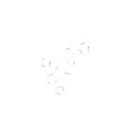 Cc1cccc(N(C(N)=O)N2C=CN(C3N=C(c4ccccc4)c4ccccc4N(Cc4ncc[nH]4)C3=O)C2CCl)c1